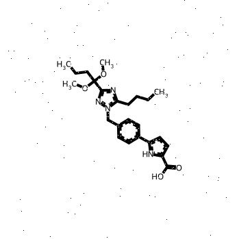 CCCCc1nc(C(CCC)(OC)OC)nn1Cc1ccc(-c2ccc(C(=O)O)[nH]2)cc1